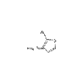 CC(=O)c1ccco1.[NaH].[NaH]